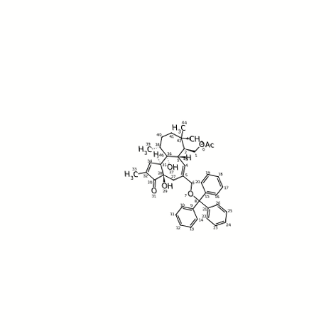 CC(=O)OC[C@H]1[C@@H]2C=C(COC(c3ccccc3)(c3ccccc3)c3ccccc3)C[C@]3(O)C(=O)C(C)=C[C@H]3[C@@]2(O)[C@H](C)CCC1(C)C